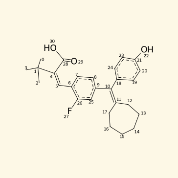 CC(C)(C)C(=Cc1ccc(C(=C2CCCCCC2)c2ccc(O)cc2)cc1F)C(=O)O